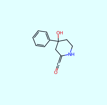 O=C=C1CC(O)(c2ccccc2)CCN1